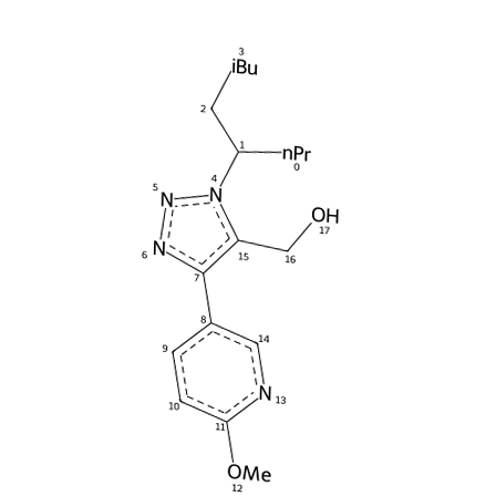 CCCC(CC(C)CC)n1nnc(-c2ccc(OC)nc2)c1CO